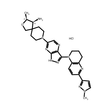 C[C@@H]1OCC2(CCN(c3cnc4c(N5CCCc6nc(-c7ccn(C)n7)ccc65)n[nH]c4n3)CC2)[C@@H]1N.Cl